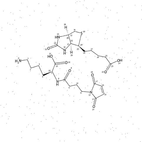 NCCCC[C@H](NC(=O)CCCN1C(=O)C=CC1=O)C(=O)O.O=C(O)CCCC[C@@H]1SC[C@@H]2NC(=O)N[C@@H]21